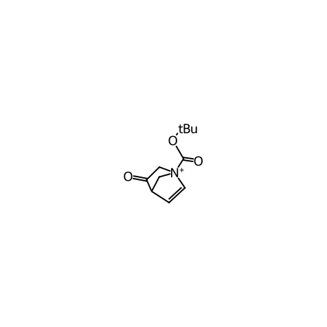 CC(C)(C)OC(=O)[N+]12C=CC(C1)C(=O)C2